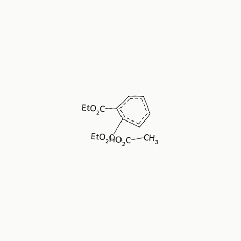 CC(=O)O.CCOC(=O)c1ccccc1C(=O)OCC